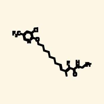 CC(C=CCCCCCCCOc1ncc(C(F)(F)F)cc1Cl)=C(F)C(=O)NCC(C)C